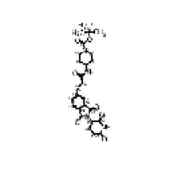 CC(C)(C)OC(=O)N1CCC(NC(=O)COc2ccc3c(c2)C(=O)N(C2CCC(=O)NC2=O)C3=O)CC1